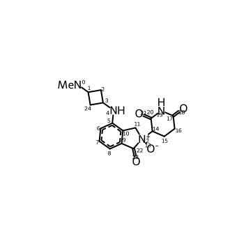 CNC1CC(Nc2cccc3c2C[N+]([O-])(C2CCC(=O)NC2=O)C3=O)C1